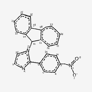 O=[N+]([O-])c1ccc(-c2nccn2C2c3ccccc3-c3ccccc32)cc1